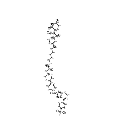 CS(=O)(=O)c1ccc(-c2cccc3nc(Nc4ccc(N5CCN(CC(=O)NCCCCCCNc6ccc7c(c6)C(=O)N(C6CCC(=O)NC6=O)C7=O)CC5)cc4)nn23)cc1